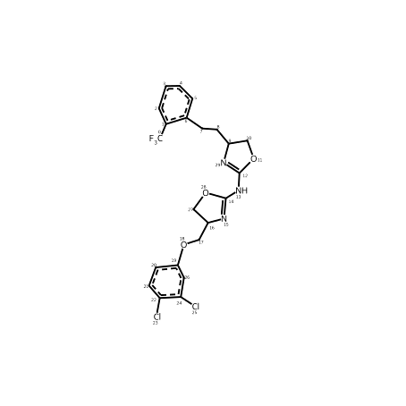 FC(F)(F)c1ccccc1CCC1COC(NC2=NC(COc3ccc(Cl)c(Cl)c3)CO2)=N1